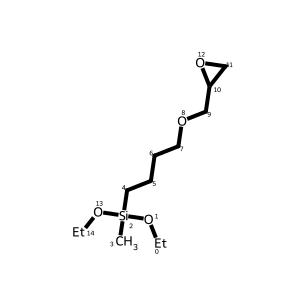 CCO[Si](C)(CCCCOCC1CO1)OCC